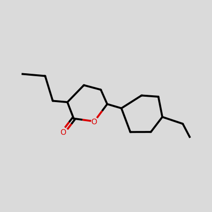 CCCC1CCC(C2CCC(CC)CC2)OC1=O